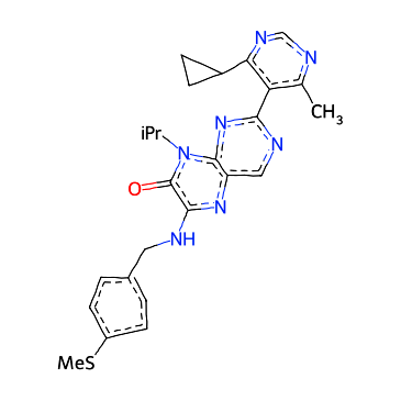 CSc1ccc(CNc2nc3cnc(-c4c(C)ncnc4C4CC4)nc3n(C(C)C)c2=O)cc1